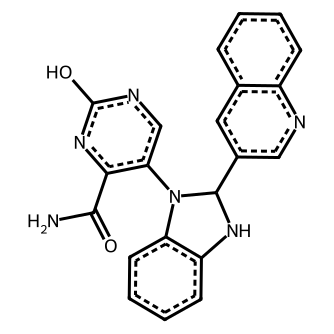 NC(=O)c1nc(O)ncc1N1c2ccccc2NC1c1cnc2ccccc2c1